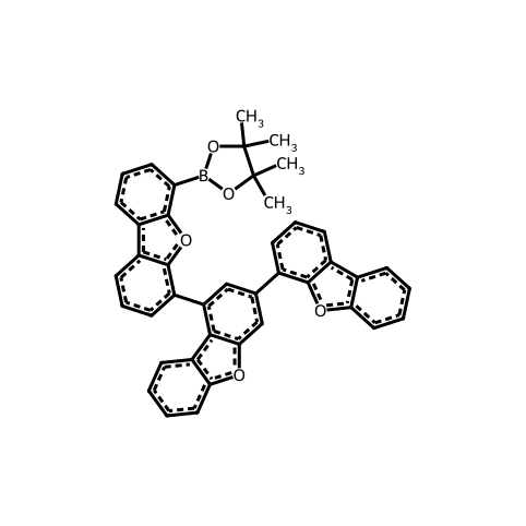 CC1(C)OB(c2cccc3c2oc2c(-c4cc(-c5cccc6c5oc5ccccc56)cc5oc6ccccc6c45)cccc23)OC1(C)C